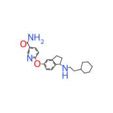 NC(=O)c1ccc(Oc2ccc3c(c2)CCC3NCCC2CCCCC2)nc1